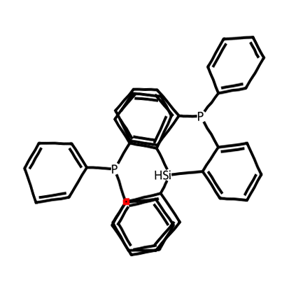 c1ccc([SiH](c2ccccc2P(c2ccccc2)c2ccccc2)c2ccccc2P(c2ccccc2)c2ccccc2)cc1